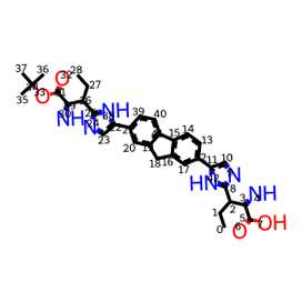 CCC(C(=N)C(=O)O)c1ncc(-c2ccc3c(c2)Cc2cc(-c4cnc(C(CC)C(=N)C(=O)OC(C)(C)C)[nH]4)ccc2-3)[nH]1